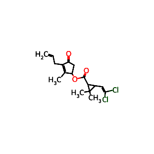 C=CCC1=C(C)C(OC(=O)C2C(C=C(Cl)Cl)C2(C)C)CC1=O